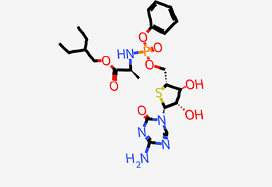 CCC(CC)COC(=O)[C@H](C)NP(=O)(OC[C@H]1S[C@@H](n2cnc(N)nc2=O)[C@@H](O)[C@H]1O)Oc1ccccc1